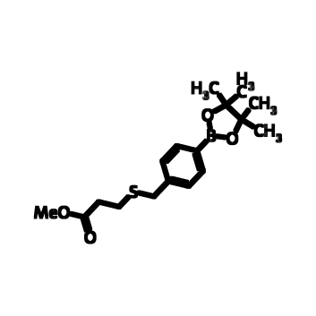 COC(=O)CCSCc1ccc(B2OC(C)(C)C(C)(C)O2)cc1